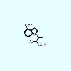 CCOC(=O)C(C(C)=O)C(C)n1ccc2c(OC)cccc21